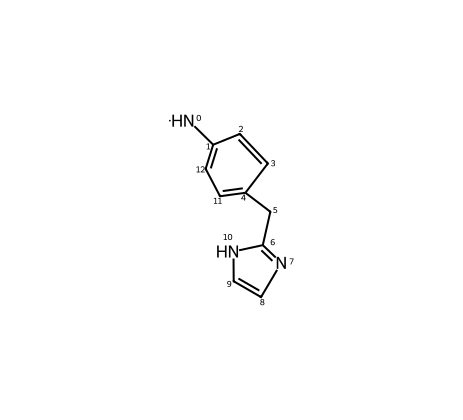 [NH]c1ccc(Cc2ncc[nH]2)cc1